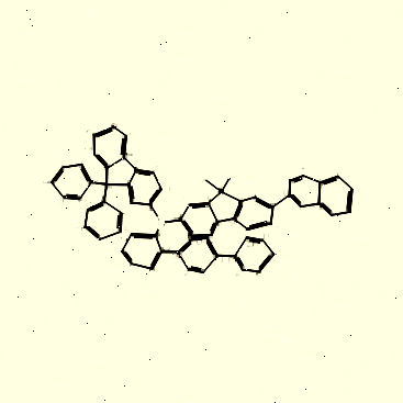 CC1(C)c2cc(-c3ccc4ccccc4c3)ccc2-c2ccc(N(c3ccc4c(c3)C(c3ccccc3)(c3ccccc3)c3ccccc3-4)c3ccccc3-c3ccc(-c4ccccc4)cc3)cc21